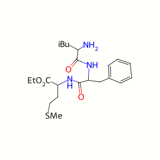 CCOC(=O)C(CCSC)NC(=O)C(Cc1ccccc1)NC(=O)C(N)C(C)CC